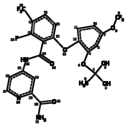 BC(O)(O)Oc1cc(OC(F)(F)F)ccc1Oc1ccc(C(F)(F)F)c(F)c1C(=O)Nc1ccnc(C(N)=O)c1